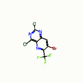 FC(F)(F)c1nc2c(Cl)nc(Cl)nc2cc1Br